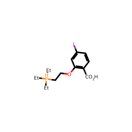 CC[PH](CC)(CC)CCOc1cc(I)ccc1C(=O)O